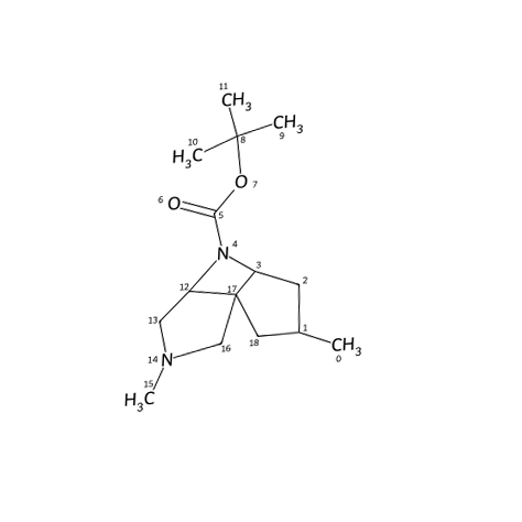 CC1CC2N(C(=O)OC(C)(C)C)C3CN(C)CC23C1